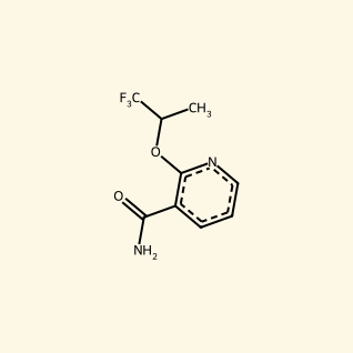 CC(Oc1ncccc1C(N)=O)C(F)(F)F